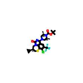 C[C@@H]1CN(c2nc(=O)n3c4c(c(Cl)c(C(F)(F)F)cc24)SC[C@@H](C2CC2)C3)C[C@H](C)N1C(=O)OC(C)(C)C